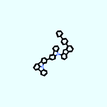 c1ccc(-c2ccc(-c3cccc4c3Cc3c-4cccc3-n3c4ccccc4c4cc(-c5ccc6c7cccc8c9ccccc9n(c6c5)c87)ccc43)cc2)cc1